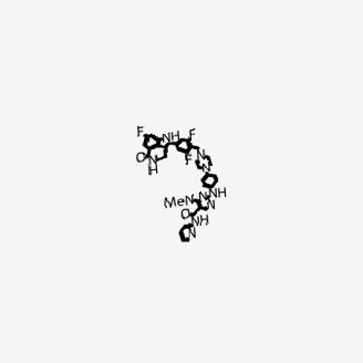 CNc1nc(Nc2ccc(N3CCN(Cc4c(F)cc(-c5[nH]c6cc(F)cc7c6c5CCNC7=O)cc4F)CC3)cc2)ncc1C(=O)Nc1ccccn1